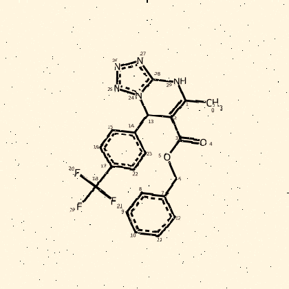 CC1=C(C(=O)OCc2ccccc2)C(c2ccc(C(F)(F)F)cc2)n2nnnc2N1